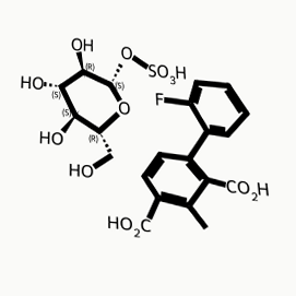 Cc1c(C(=O)O)ccc(-c2ccccc2F)c1C(=O)O.O=S(=O)(O)O[C@@H]1O[C@H](CO)[C@@H](O)[C@H](O)[C@H]1O